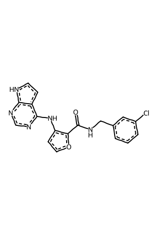 O=C(NCc1cccc(Cl)c1)c1occc1Nc1ncnc2[nH]ccc12